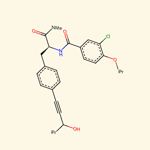 CNC(=O)[C@H](Cc1ccc(C#CC(O)C(C)C)cc1)NC(=O)c1ccc(OC(C)C)c(Cl)c1